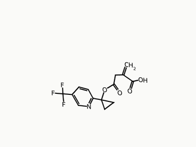 C=C(CC(=O)OC1(c2ccc(C(F)(F)F)cn2)CC1)C(=O)O